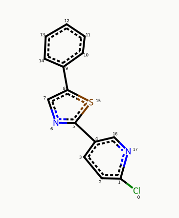 Clc1ccc(-c2ncc(-c3ccccc3)s2)cn1